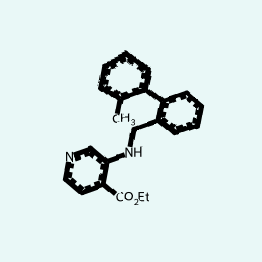 CCOC(=O)c1ccncc1NCc1ccccc1-c1ccccc1C